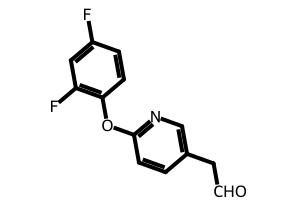 O=CCc1ccc(Oc2ccc(F)cc2F)nc1